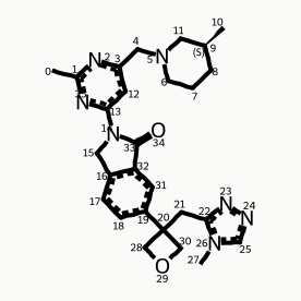 Cc1nc(CN2CCC[C@H](C)C2)cc(N2Cc3ccc(C4(Cc5nncn5C)COC4)cc3C2=O)n1